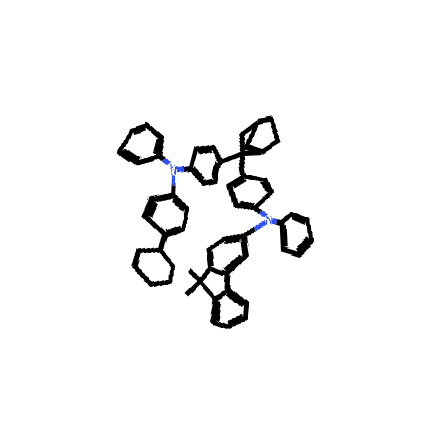 CC1(C)c2ccccc2-c2cc(N(c3ccccc3)c3ccc(C4(c5ccc(N(c6ccccc6)c6ccc(C7CCCCC7)cc6)cc5)CC5CCC4C5)cc3)ccc21